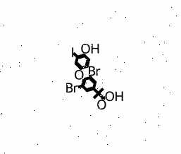 CC(C)(C(=O)O)c1cc(Br)c(Oc2ccc(O)c(I)c2)c(Br)c1